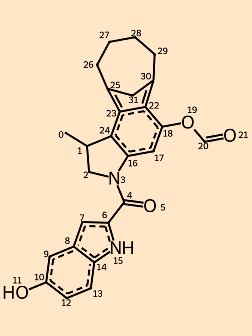 CC1CN(C(=O)c2cc3cc(O)ccc3[nH]2)c2cc(OC=O)c3c(c21)=C1CCCCC=3C1